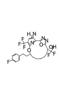 Nc1cc(C(F)(F)F)c2nc1-c1nnc(o1)[C@@](O)(C(F)(F)F)CCCCCC(CCc1ccc(F)cc1)O2